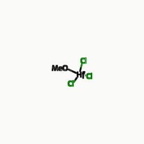 C[O][Hf]([Cl])([Cl])[Cl]